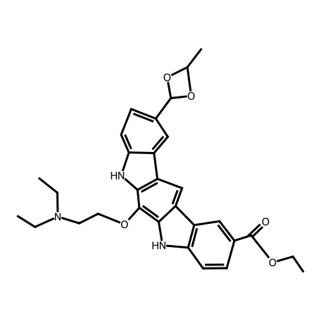 CCOC(=O)c1ccc2[nH]c3c(OCCN(CC)CC)c4[nH]c5ccc(C6OC(C)O6)cc5c4cc3c2c1